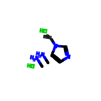 CCCCn1ccnc1.CN.CN.Cl.Cl